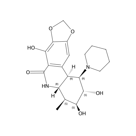 C[C@@H]1[C@H](O)[C@@H](O)[C@H](N2CCCCC2)[C@@H]2c3cc4c(c(O)c3C(=O)N[C@@H]12)OCO4